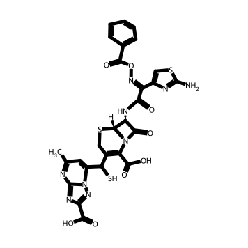 Cc1cc(C(S)C2=C(C(=O)O)N3C(=O)[C@@H](NC(=O)C(=NOC(=O)c4ccccc4)c4csc(N)n4)[C@H]3SC2)n2nc(C(=O)O)nc2n1